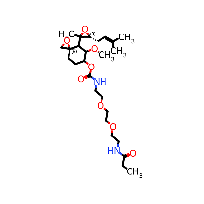 CCC(=O)NCCOCCOCCNC(=O)OC1CC[C@]2(CO2)C(C2(C)O[C@@H]2CC=C(C)C)C1OC